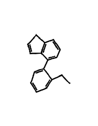 CCc1ccccc1-c1cccc2c1C=C[CH]2